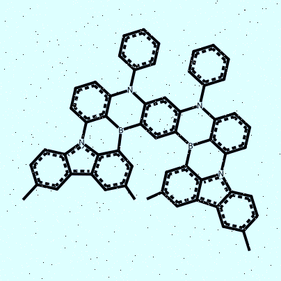 Cc1ccc2c(c1)c1cc(C)cc3c1n2-c1cccc2c1B3c1cc3c(cc1N2c1ccccc1)N(c1ccccc1)c1cccc2c1B3c1cc(C)cc3c4cc(C)ccc4n-2c13